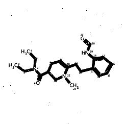 CCN(CC)C(=O)C1CC=C(CCc2ccccc2NC=O)N(C)C1